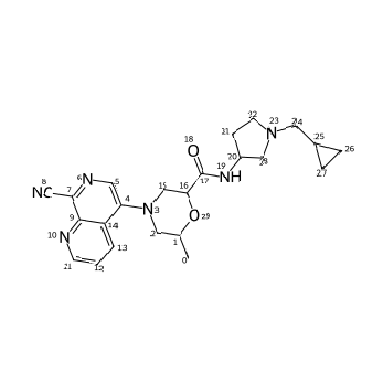 CC1CN(c2cnc(C#N)c3ncccc23)CC(C(=O)NC2CCN(CC3CC3)C2)O1